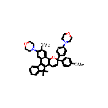 COc1ccc(C2(c3ccc(N4CCOCC4)cc3)C=Cc3c4c(c5cc(N6CCOCC6)c(OC)cc5c3O2)-c2ccccc2C4(C)C)cc1